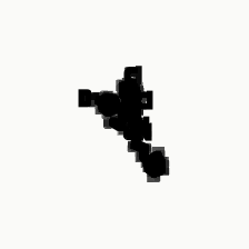 CCc1c(-c2nnc(CCCc3ccccc3)o2)nn(-c2ccc(Cl)cc2Cl)c1-c1ccc(Br)cc1